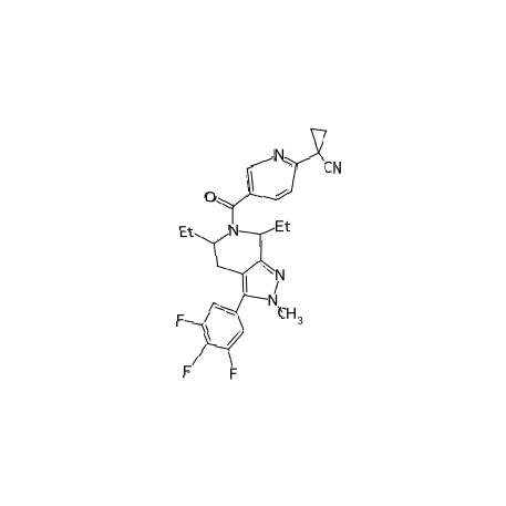 CCC1Cc2c(nn(C)c2-c2cc(F)c(F)c(F)c2)C(CC)N1C(=O)c1ccc(C2(C#N)CC2)nc1